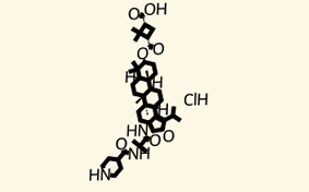 CC(C)C1=C2[C@H]3CC[C@@H]4[C@@]5(C)CC[C@H](OC(=O)[C@H]6C[C@@H](C(=O)O)C6(C)C)C(C)(C)[C@@H]5CC[C@@]4(C)[C@]3(C)CC[C@@]2(NC(=O)C(C)(C)NC(=O)C2CCNCC2)CC1=O.Cl